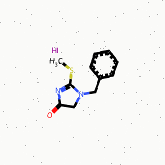 CSC1=NC(=O)CN1Cc1ccccc1.I